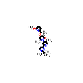 COc1cccc(COc2cc(C)n(-c3cc(-c4ccnc(C(C)(C)C)n4)ncc3C)c(=O)c2C)n1